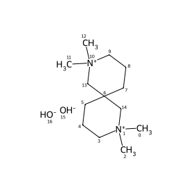 C[N+]1(C)CCCC2(CCC[N+](C)(C)C2)C1.[OH-].[OH-]